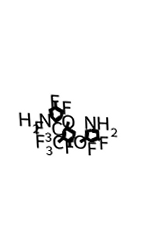 Nc1cc(F)c(F)c(Oc2cc(Oc3cc(N)cc(F)c3F)c(C(F)(F)F)c(C(F)(F)F)c2F)c1